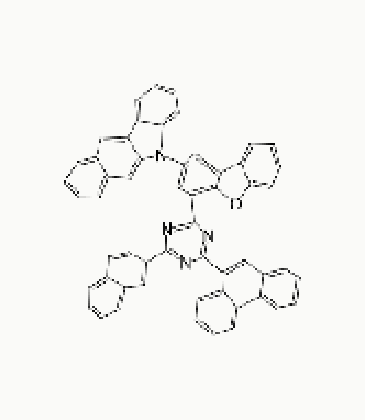 c1ccc2cc(-c3nc(-c4cc5ccccc5c5ccccc45)nc(-c4cc(-n5c6ccccc6c6cc7ccccc7cc65)cc5c4oc4ccccc45)n3)ccc2c1